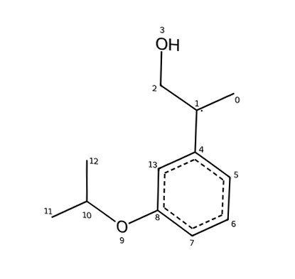 C[C](CO)c1cccc(OC(C)C)c1